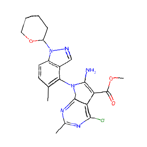 COC(=O)c1c(N)n(-c2c(C)ccc3c2cnn3C2CCCCO2)c2nc(C)nc(Cl)c12